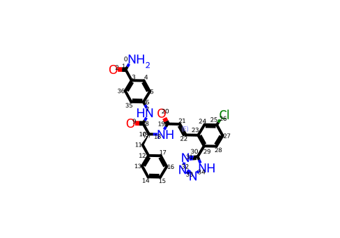 NC(=O)c1ccc(NC(=O)[C@H](Cc2ccccc2)NC(=O)/C=C/c2cc(Cl)ccc2-c2nnn[nH]2)cc1